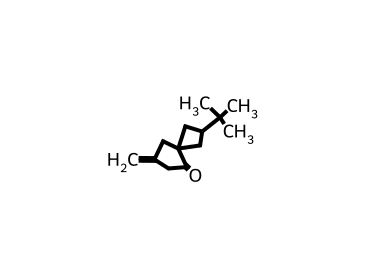 C=C1CC(=O)C2(C1)CC(C(C)(C)C)C2